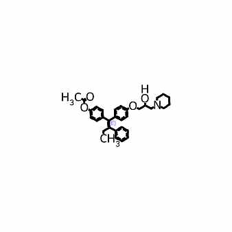 CC/C(=C(/c1ccc(OCC(O)CN2CCCCC2)cc1)c1ccc(OC(C)=O)cc1)c1ccccc1